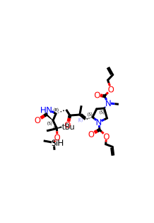 C=CCOC(=O)N(C)[C@H]1C[C@@H](/C=C(\C)C(=O)C[C@H]2NC(=O)[C@@H]2[C@@](C)(O[SiH](C)C)C(C)(C)C)N(C(=O)OCC=C)C1